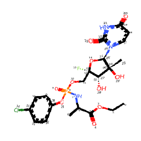 CCOC(=O)C(C)NP(=O)(OC[C@@]1(F)O[C@@H](n2ccc(=O)[nH]c2=O)[C@](C)(O)[C@@H]1O)Oc1ccc(Cl)cc1